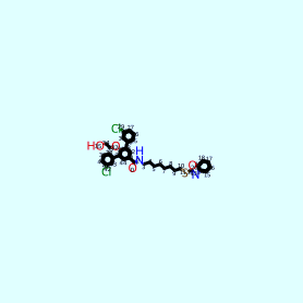 O=C(NCCCCCCCCSc1nc2ccccc2o1)c1cc(-c2cccc(Cl)c2)c(OCCO)c(-c2cccc(Cl)c2)c1